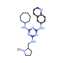 CCN1CCCC1CNc1nc(Nc2ccc3ncccc3c2)nc(NC2CCCCCC2)n1